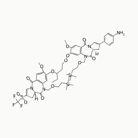 CCC(CCOOc1cc2c(cc1OC)C(=O)N1C=C(c3ccc(N)cc3)C[C@H]1C(=O)N2COCC[Si](C)(C)C)Oc1cc2c(cc1OC)C(=O)N1C=C(S(=O)(=O)C(F)(F)F)C[C@H]1C(=O)N2COCC[Si](C)(C)C